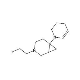 ICCN1CCC2(N3C=CCCC3)CC2C1